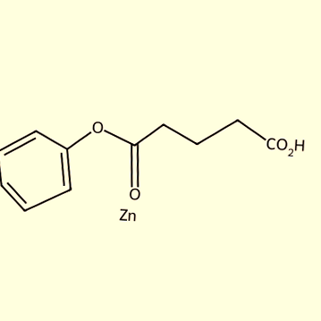 O=C(O)CCCC(=O)Oc1ccccc1.[Zn]